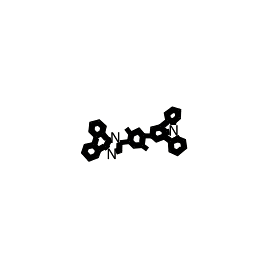 Cc1cc(-c2cnc3c4ccccc4c4ccccc4c3n2)c(C)cc1-c1cc2c3ccccc3n3c4ccccc4c(c1)c23